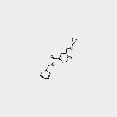 O=C(OCc1ccccc1)N1CCN[C@H](COC2CC2)C1